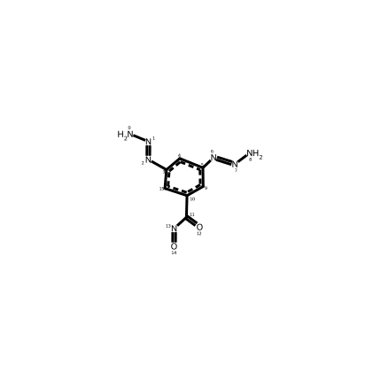 NN=Nc1cc(N=NN)cc(C(=O)N=O)c1